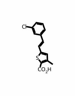 Cc1cc(C=Cc2cccc(Cl)c2)sc1C(=O)O